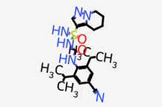 CC(C)c1cc(C#N)cc(C(C)C)c1NC(=O)NS(=N)(=O)c1cnn2c1CCCC2